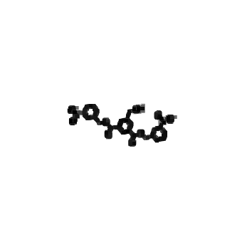 O=C(OCc1cccc([N+](=O)[O-])c1)c1cc(CO)cc(C(=O)OCc2cccc([N+](=O)[O-])c2)c1